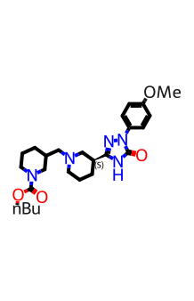 CCCCOC(=O)N1CCCC(CN2CCC[C@H](c3nn(-c4ccc(OC)cc4)c(=O)[nH]3)C2)C1